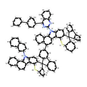 c1ccc(-c2ccc(-c3nc(-n4c5ccc6c(c5c5cc(-c7ccc8c(c7)-c7ccccc7C87c8ccccc8Sc8c7ccc7c8c8ccc9ccccc9c8n7-c7ccc8ccccc8c7)c7ccccc7c54)Sc4ccccc4C64c5ccccc5-c5ccccc54)nc4ccccc34)cc2)cc1